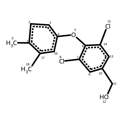 Cc1ccc(Oc2c(Cl)cc(CO)cc2Cl)cc1C